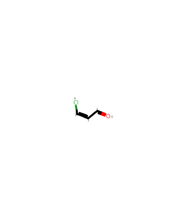 O=C/C=[C]\Cl